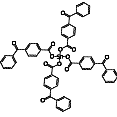 O=C([O][Sn]([O]C(=O)c1ccc(C(=O)c2ccccc2)cc1)([O]C(=O)c1ccc(C(=O)c2ccccc2)cc1)[O]C(=O)c1ccc(C(=O)c2ccccc2)cc1)c1ccc(C(=O)c2ccccc2)cc1